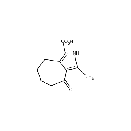 Cc1[nH]c(C(=O)O)c2c1C(=O)CCCC2